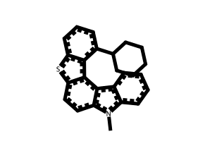 Cn1c2ccccc2c2c3c(ccc21)sc1cccc(C2CCCCC2)c13